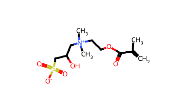 C=C(C)C(=O)OCC[N+](C)(C)CC(O)CS(=O)(=O)[O-]